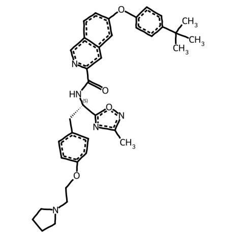 Cc1noc([C@H](Cc2ccc(OCCN3CCCC3)cc2)NC(=O)c2cc3cc(Oc4ccc(C(C)(C)C)cc4)ccc3cn2)n1